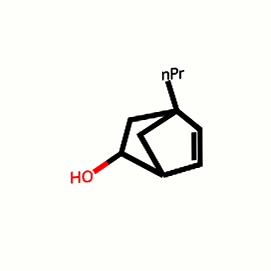 CCCC12C=CC(C1)C(O)C2